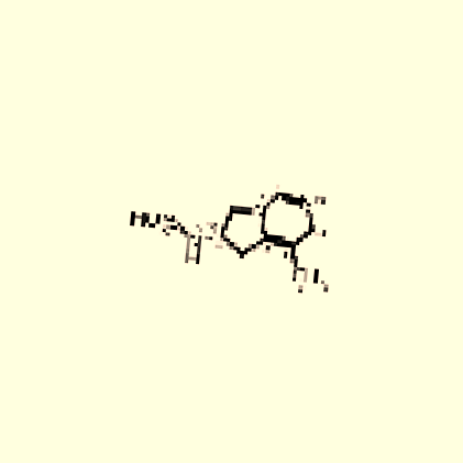 CC1=C2C[C@H](NS(=O)(=O)O)CN2C=NC1